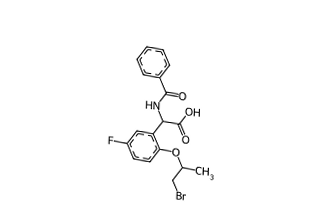 CC(CBr)Oc1ccc(F)cc1C(NC(=O)c1ccccc1)C(=O)O